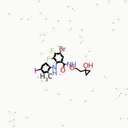 Cc1cc(I)ccc1Nc1c(C(=O)NOCCC2(O)CC2)cc(Br)c(F)c1F